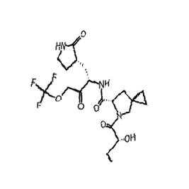 CC[C@@H](O)C(=O)N1CC2(CC2)C[C@H]1C(=O)N[C@@H](C[C@@H]1CCNC1=O)C(=O)COC(F)(F)F